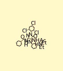 CC(=O)NC1(Nc2ccccc2)C(=O)N(c2c(Cl)cc(Cl)cc2Cl)N=C1NC(=O)c1ccccc1.CCNCC